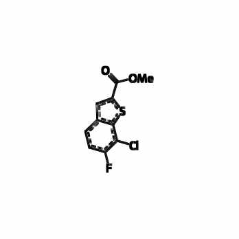 COC(=O)c1cc2ccc(F)c(Cl)c2s1